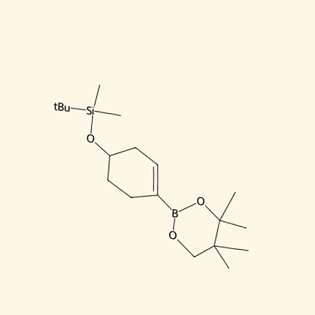 CC1(C)COB(C2=CCC(O[Si](C)(C)C(C)(C)C)CC2)OC1(C)C